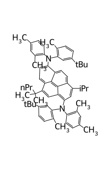 CCCC(C)(C)c1cc2c(N(c3ccc(C)cc3C)c3cc(C(C)(C)C)ccc3C)cc(C(C)C)c3ccc4c(N(c5ccc(C)cc5C)c5cc(C(C)(C)C)ccc5C)ccc1c4c32